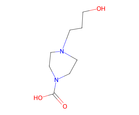 O=C(O)N1CCN(CCCO)CC1